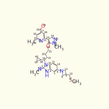 C/N=c1\[nH]c2cc(N3CC(CSC)C3)ccc2n1C(CCCOc1c(-c2cc(C=O)cc(C)n2)cnn1C)C1CC1